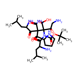 CC(C)CC(N)C(=O)N(C(=O)OC(C)(C)C)C(C(=O)O)(C(=O)CN)C(C(N)=O)(C(=O)C(N)CC(C)C)C(=O)C1CCCN1